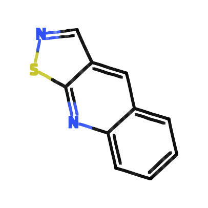 c1ccc2nc3sncc3cc2c1